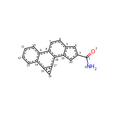 NC(=O)c1cc2ccc3c4ccccc4c4cc4c3c2c1